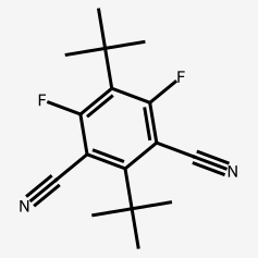 CC(C)(C)c1c(F)c(C#N)c(C(C)(C)C)c(C#N)c1F